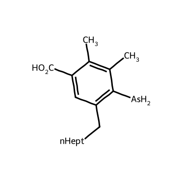 CCCCCCCCc1cc(C(=O)O)c(C)c(C)c1[AsH2]